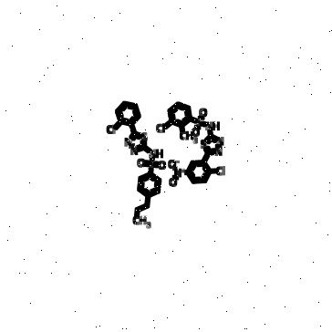 CCCc1ccc(S(=O)(=O)Nc2nnc(-c3ccccc3Cl)s2)cc1.Cc1c(Cl)cccc1S(=O)(=O)Nc1nnc(-c2cc([N+](=O)[O-])ccc2Cl)s1